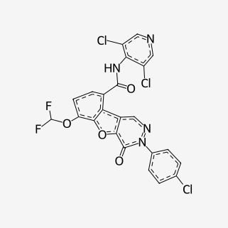 O=C(Nc1c(Cl)cncc1Cl)c1ccc(OC(F)F)c2oc3c(=O)n(-c4ccc(Cl)cc4)ncc3c12